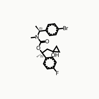 C[C@@H](c1ccc(Br)cc1)N(C)C(=O)O[C@@](C)(CC1(O)CC1)c1ccc(F)cc1